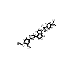 CC(C)Oc1ccc(-c2ncc(-c3cccc4c3CCC4NC(=O)N3CCC(N(C)C)CC3)s2)cc1C#N